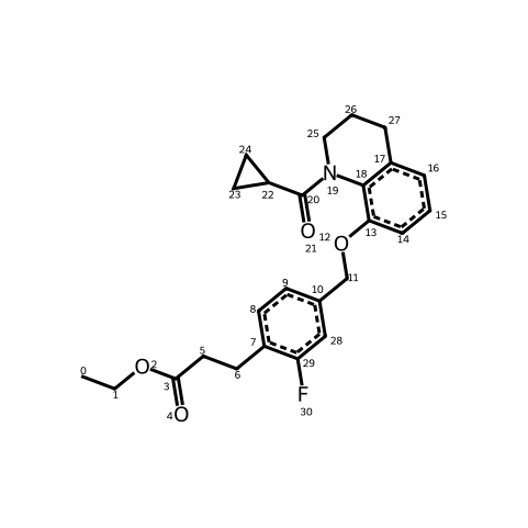 CCOC(=O)CCc1ccc(COc2cccc3c2N(C(=O)C2CC2)CCC3)cc1F